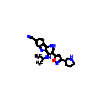 CC(C)Nc1c(-c2cc(C3CCCNC3)no2)c[nH]c2c3ccc(C#N)cc3nc1-2